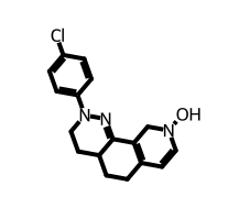 ON1C=CC2=C(C1)C1=NN(c3ccc(Cl)cc3)CCC1CC2